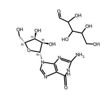 Nc1nc2c(ncn2[C@@H]2O[C@H](CO)[C@@H](O)[C@H]2O)c(=O)[nH]1.O=CC(O)C(O)C(O)CO